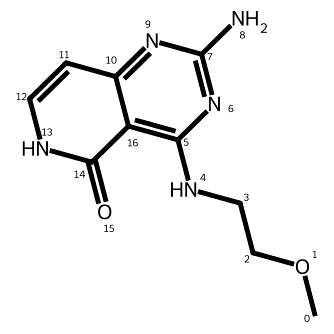 COCCNc1nc(N)nc2cc[nH]c(=O)c12